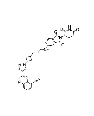 N#Cc1cccc2ncc(-c3cnn([C@H]4C[C@H](CCCNc5ccc6c(c5)C(=O)N(C5CCC(=O)NC5=O)C6=O)C4)c3)nc12